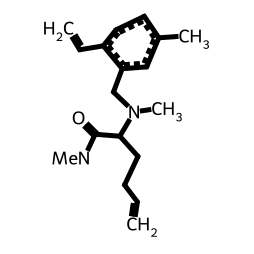 C=CCCC(C(=O)NC)N(C)Cc1cc(C)ccc1C=C